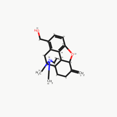 C=C1CCC2C3Cc4c(CO)ccc5c4[C@@]2(CC[N+]3(C)C)C1O5